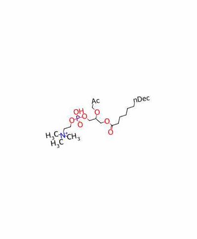 CCCCCCCCCCCCCCCC(=O)OCC(COP(=O)(O)OCC[N+](C)(C)C)OCC(C)=O